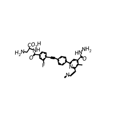 C=N/C=C\c1nc(-c2ccc(C#Cc3ccc(C(=O)NC(CN)C(=O)O)cc3F)cc2)cc(C(=O)NN)c1C